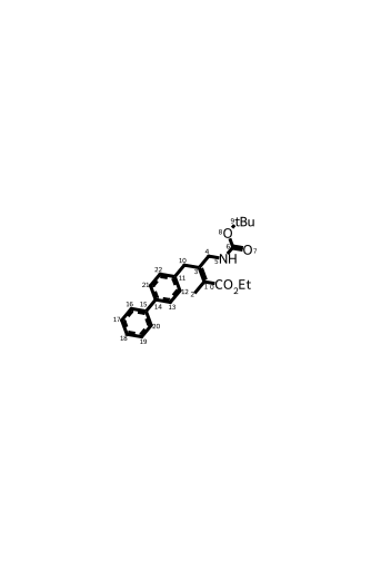 CCOC(=O)C(C)=C(CNC(=O)OC(C)(C)C)Cc1ccc(-c2ccccc2)cc1